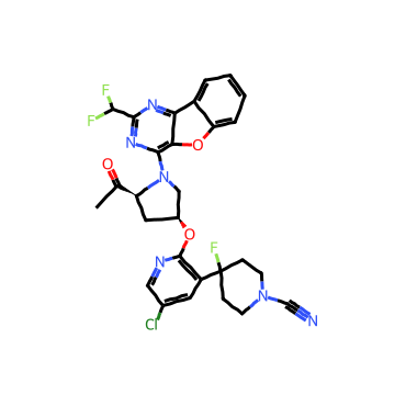 CC(=O)[C@@H]1C[C@H](Oc2ncc(Cl)cc2C2(F)CCN(C#N)CC2)CN1c1nc(C(F)F)nc2c1oc1ccccc12